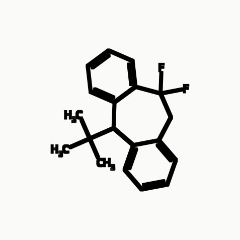 CC(C)(C)C1c2ccccc2CC(F)(F)c2ccccc21